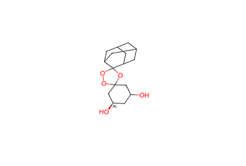 OC1C[C@@H](O)CC2(C1)OOC1(O2)C2CC3CC(C2)CC1C3